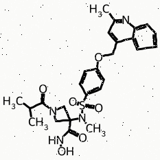 Cc1cc(COc2ccc(S(=O)(=O)N(C)C3(C(=O)NO)CN(C(=O)C(C)C)C3)cc2)c2ccccc2n1